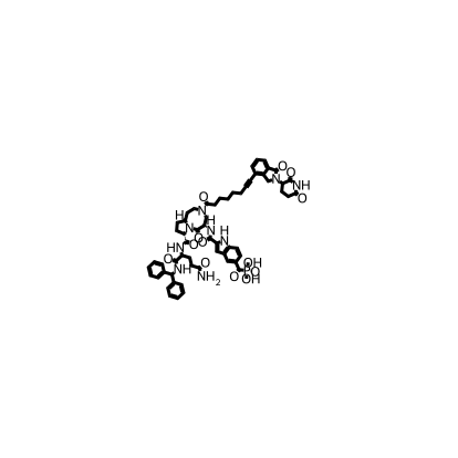 NC(=O)CCC(NC(=O)[C@@H]1CC[C@@H]2CCN(C(=O)CCCCCC#Cc3cccc4c3CN(C3CCC(=O)NC3=O)C4=O)C[C@H](NC(=O)c3cc4cc(C(=O)P(=O)(O)O)ccc4[nH]3)C(=O)N21)C(=O)NC(c1ccccc1)c1ccccc1